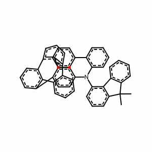 CC1(C)c2ccccc2-c2c(N(c3ccc4c(c3)-c3c5cccc3-c3cccc-4c3-c3ccccc3-5)c3ccccc3-c3ccccc3)cccc21